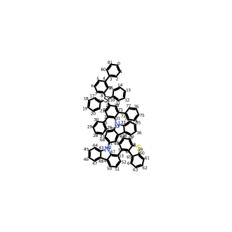 c1ccc(-c2cccc([Si](c3ccccc3)(c3ccccc3)c3cc(-c4ccccc4)c(-n4c5ccccc5c5cc(-n6c7ccccc7c7cccc(-c8cccc9sc%10ccccc%10c89)c76)ccc54)c(-c4ccccc4)c3)c2)cc1